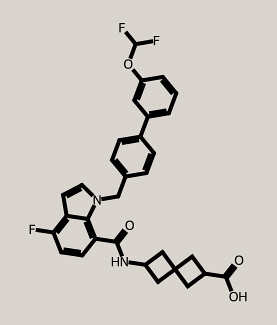 O=C(NC1CC2(C1)CC(C(=O)O)C2)c1ccc(F)c2ccn(Cc3ccc(-c4cccc(OC(F)F)c4)cc3)c12